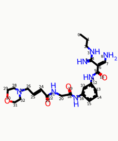 CCCNC(=N)/C(=C\N)C(=O)Nc1cccc(NC(=O)CNC(=O)/C=C/CN2CCOCC2)c1